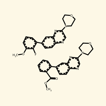 COC(=O)c1ccccc1-c1ccc2ncc(N3CCOCC3)nc2c1.COc1cccc(-c2ccc3ncc(N4CCOCC4)nc3c2)c1F